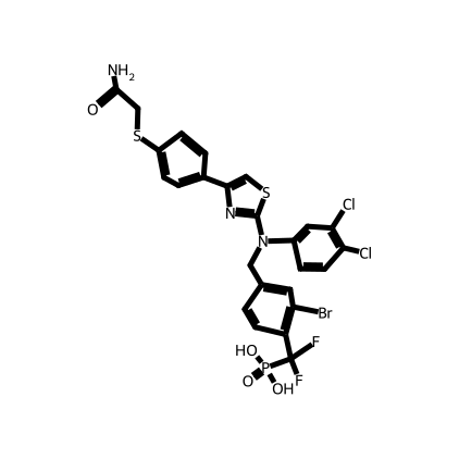 NC(=O)CSc1ccc(-c2csc(N(Cc3ccc(C(F)(F)P(=O)(O)O)c(Br)c3)c3ccc(Cl)c(Cl)c3)n2)cc1